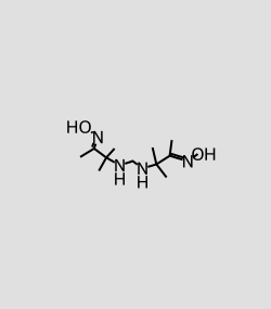 C/C(=N\O)C(C)(C)NCNC(C)(C)/C(C)=N/O